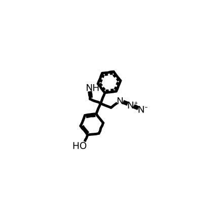 [N-]=[N+]=NCC(C=N)(C1=CC=C(O)CC1)c1ccccc1